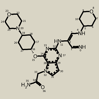 N=C/C(=C\NC1CCOCC1)Nc1nc(O[C@H]2CC[C@H](N3CCOCC3)CC2)c2c(ccn2CC(N)=O)n1